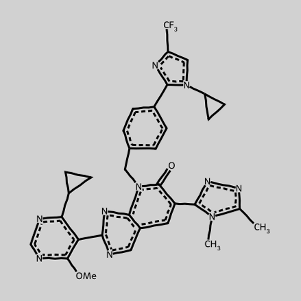 COc1ncnc(C2CC2)c1-c1ncc2cc(-c3nnc(C)n3C)c(=O)n(Cc3ccc(-c4nc(C(F)(F)F)cn4C4CC4)cc3)c2n1